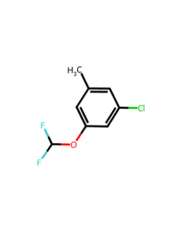 Cc1cc(Cl)cc(OC(F)F)c1